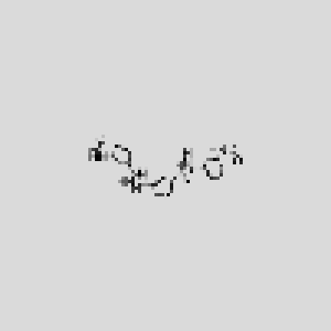 CC(=O)Nc1cccc(-c2nc(-c3cccc(-c4n[nH]c(-c5cccc(NC(C)=O)c5)n4)c3)n[nH]2)c1